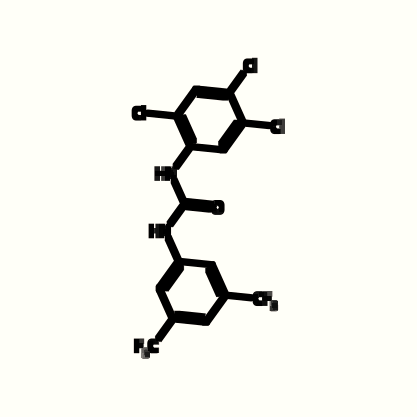 O=C(Nc1cc(C(F)(F)F)cc(C(F)(F)F)c1)Nc1cc(Cl)c(Cl)cc1Cl